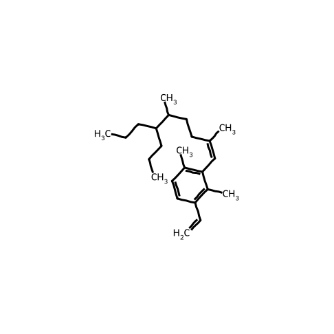 C=Cc1ccc(C)c(/C=C(/C)CCC(C)C(CCC)CCC)c1C